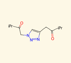 CC(C)C(=O)Cc1cn(CC(=O)C(C)C)nn1